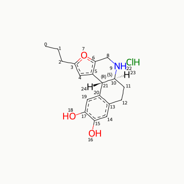 CCCc1cc2c(o1)CN[C@H]1CCc3cc(O)c(O)cc3[C@H]21.Cl